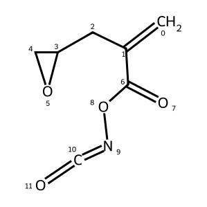 C=C(CC1CO1)C(=O)ON=C=O